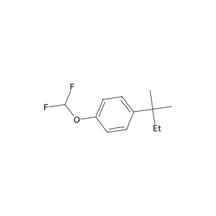 CCC(C)(C)c1ccc(OC(F)F)cc1